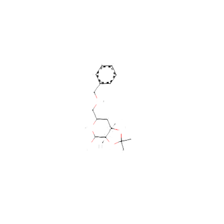 CC1(C)O[C@H]2CC(COCc3ccccc3)OC(O)[C@H]2O1